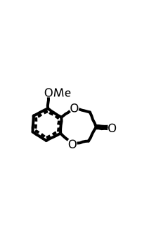 COc1cccc2c1OCC(=O)CO2